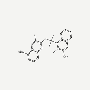 Cc1cc2c(C(C)(C)C)cccc2cc1CC(C)(C)c1c(C)c(O)cc2ccccc12